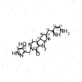 CN1c2c(cnn(Cc3n[nH]cc3O)c2=O)C2SC(CC(=N)/C=C\N)=NC21